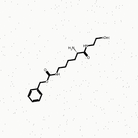 CCCCCCCCCCCCNC(=O)[C@@H](N)CCCCNC(=O)OCc1ccccc1